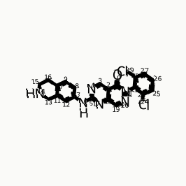 O=c1c2cnc(Nc3ccc4c(c3)CNCC4)nc2cnn1-c1c(Cl)cccc1Cl